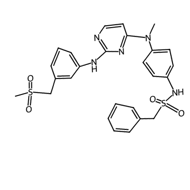 CN(c1ccc(NS(=O)(=O)Cc2ccccc2)cc1)c1ccnc(Nc2cccc(CS(C)(=O)=O)c2)n1